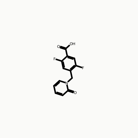 O=C(O)c1cc(F)c(Cn2ccccc2=O)cc1F